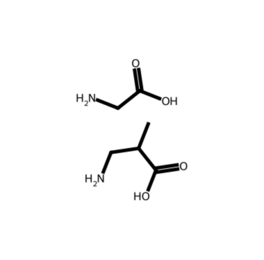 CC(CN)C(=O)O.NCC(=O)O